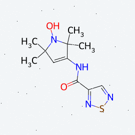 CC1(C)C=C(NC(=O)c2cnsn2)C(C)(C)N1O